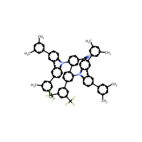 Cc1cc(C)cc(-c2ccc3c(c2)c2cc(-c4cc(C)cc(C)c4)ccc2n3-c2ccc(C#N)cc2-c2ccc(-c3cc(C(F)(F)F)cc(C(F)(F)F)c3)cc2-n2c3ccc(-c4cc(C)cc(C)c4)cc3c3cc(-c4cc(C)cc(C)c4)ccc32)c1